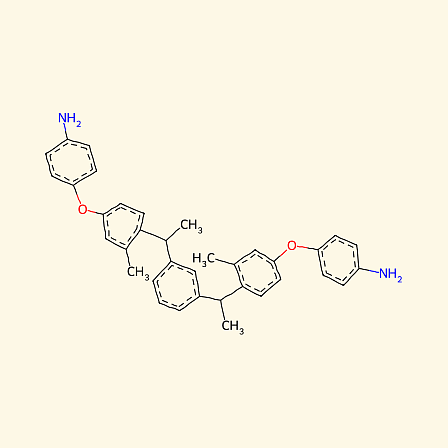 Cc1cc(Oc2ccc(N)cc2)ccc1C(C)c1cccc(C(C)c2ccc(Oc3ccc(N)cc3)cc2C)c1